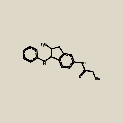 CC(C)(C)CC(=O)Nc1ccc2c(c1)CC(C(F)(F)F)C2Nc1ccccc1